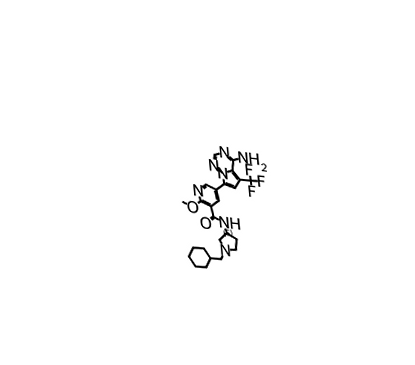 COc1ncc(-c2cc(C(F)(F)F)c3c(N)ncnn23)cc1C(=O)N[C@H]1CCN(CC2CCCCC2)C1